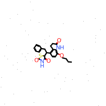 CCCCOc1ccc(C(Cc2ccccc2)C2SC(=O)NC2=O)c2c1NC(=O)CC2